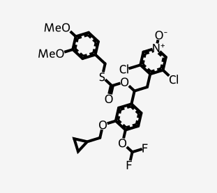 COc1ccc(CSC(=O)OC(Cc2c(Cl)c[n+]([O-])cc2Cl)c2ccc(OC(F)F)c(OCC3CC3)c2)cc1OC